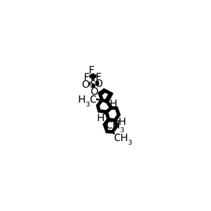 C[C@H]1CC[C@@]2(C)[C@@H](CC[C@H]3C4=CC=C(OS(=O)(=O)C(F)(F)F)[C@@]4(C)CC[C@@H]32)C1